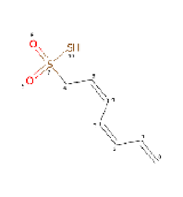 C=C/C=C\C=C/CS(=O)(=O)S